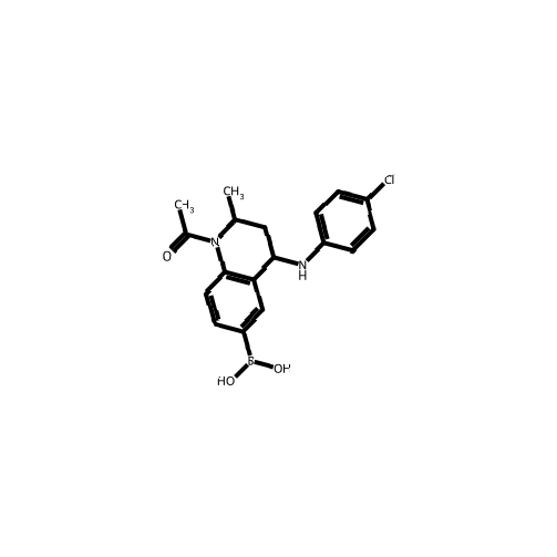 CC(=O)N1c2ccc(B(O)O)cc2C(Nc2ccc(Cl)cc2)CC1C